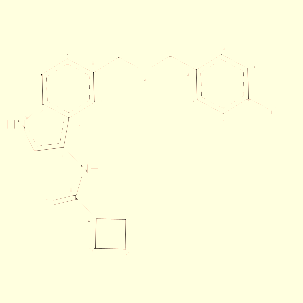 Cc1ccc(COCc2ccc3[nH]cc(NC(=O)C4CCC4)c3c2)cc1